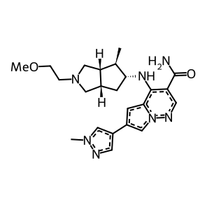 COCCN1C[C@H]2C[C@@H](Nc3c(C(N)=O)cnn4cc(-c5cnn(C)c5)cc34)[C@H](C)[C@H]2C1